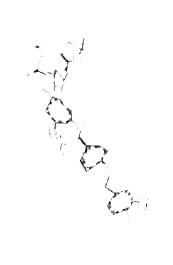 COC(=O)C(Cc1ccc(OC(CO)c2ccc(OCc3ccc(Cl)c(Cl)c3)cc2)c(Br)c1)NC(=O)OC(C)(C)C